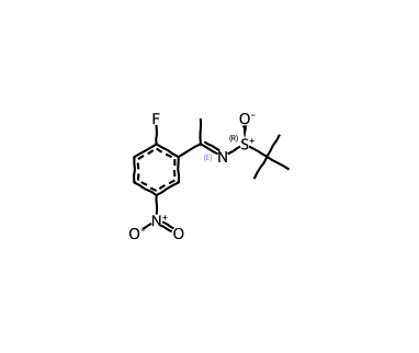 C/C(=N\[S@@+]([O-])C(C)(C)C)c1cc([N+](=O)[O-])ccc1F